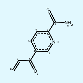 C=CC(=O)c1ccc(C(N)=O)nc1